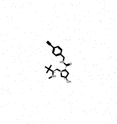 C#Cc1ccc(CNC(=O)[C@@H]2C[C@@H](O)CN2C[C@@H](NC)C(C)(C)C)cc1